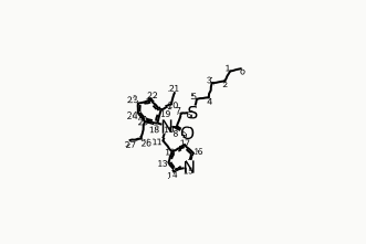 CCCCCCSCC(=O)N(Cc1ccncc1)c1c(CC)cccc1CC